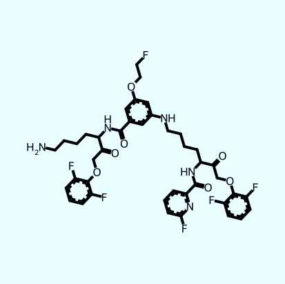 NCCCCC(NC(=O)c1cc(NCCCCC(NC(=O)c2cccc(F)n2)C(=O)COc2c(F)cccc2F)cc(OCCF)c1)C(=O)COc1c(F)cccc1F